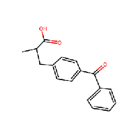 CC(Cc1ccc(C(=O)c2ccccc2)cc1)C(=O)O